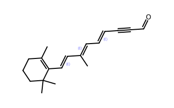 CC1=C(/C=C/C(C)=C/C=C/C#CC=O)C(C)(C)CCC1